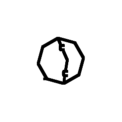 [CH]1CCC2CCCC1CCC2